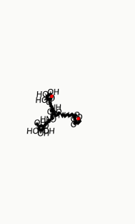 C[C@@H]1O[C@@H](OCCNC(=O)CN(CC(=O)NCCCCCC(=O)ON2C(=O)CCC2=O)CC(=O)NCCO[C@@H]2C[C@H](CO)[C@@H](O)[C@H](O)[C@H]2O)[C@@H](O)[C@H](O)[C@@H]1O